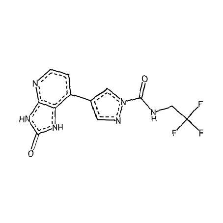 O=C(NCC(F)(F)F)n1cc(-c2ccnc3[nH]c(=O)[nH]c23)cn1